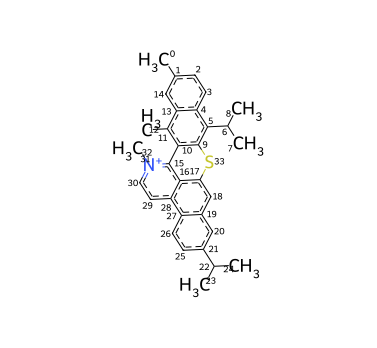 Cc1ccc2c(C(C)C)c3c(c(C)c2c1)-c1c2c(cc4cc(C(C)C)ccc4c2cc[n+]1C)S3